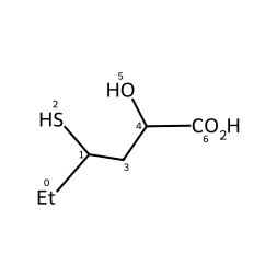 CCC(S)CC(O)C(=O)O